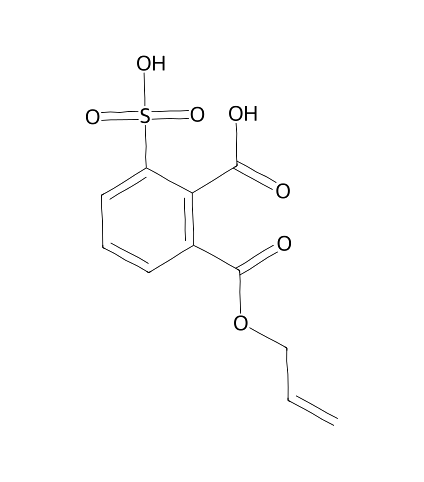 C=CCOC(=O)c1cccc(S(=O)(=O)O)c1C(=O)O